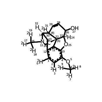 [2H]c1c([2H])c(OC([2H])([2H])[2H])c2c3c1C[C@H]1N(C([2H])([2H])[2H])CC[C@@]34C([2H])(O2)C(O)C=C[C@@]14[2H]